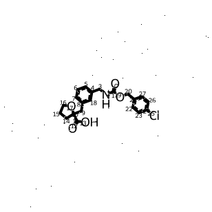 O=C(NCc1cccc(CC2(C(=O)O)CCCO2)c1)OCc1ccc(Cl)cc1